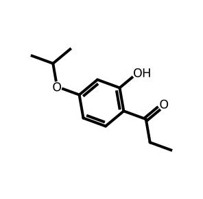 CCC(=O)c1ccc(OC(C)C)cc1O